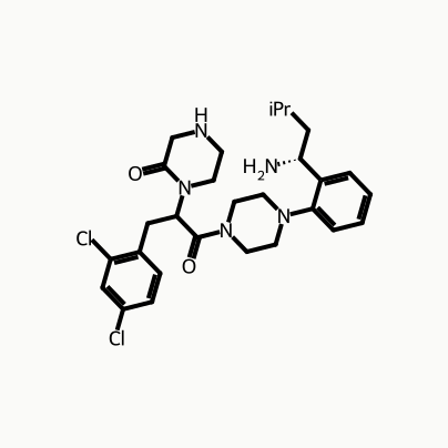 CC(C)C[C@@H](N)c1ccccc1N1CCN(C(=O)C(Cc2ccc(Cl)cc2Cl)N2CCNCC2=O)CC1